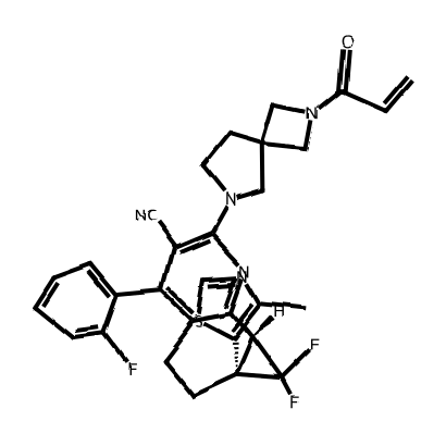 C=CC(=O)N1CC2(CCN(c3nc4c(c(-c5ccccc5F)c3C#N)CC[C@@]3(c5scnc5C)[C@H]4C3(F)F)C2)C1